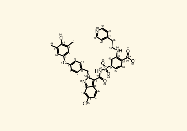 Cc1cc(Oc2ccc(Cn3nc4cc(Cl)ccc4c3C(=O)NS(=O)(=O)c3ccc([N+](=O)[O-])c(NCCc4ccncc4)c3)cc2)cc(C)c1Cl